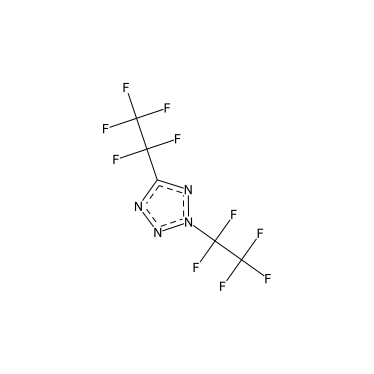 FC(F)(F)C(F)(F)c1nnn(C(F)(F)C(F)(F)F)n1